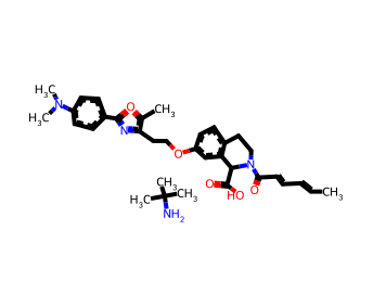 CC(C)(C)N.CC=CC=CC(=O)N1CCc2ccc(OCCc3nc(-c4ccc(N(C)C)cc4)oc3C)cc2C1C(=O)O